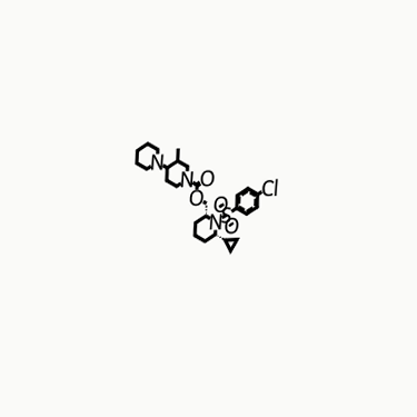 CC1CN(C(=O)OC[C@H]2CCC[C@@H](C3CC3)N2S(=O)(=O)c2ccc(Cl)cc2)CCC1N1CCCCC1